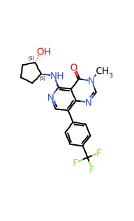 Cn1cnc2c(-c3ccc(C(F)(F)F)cc3)cnc(N[C@H]3CCC[C@@H]3O)c2c1=O